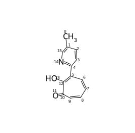 Cc1ccc(-c2ccccc(=O)c2O)nc1